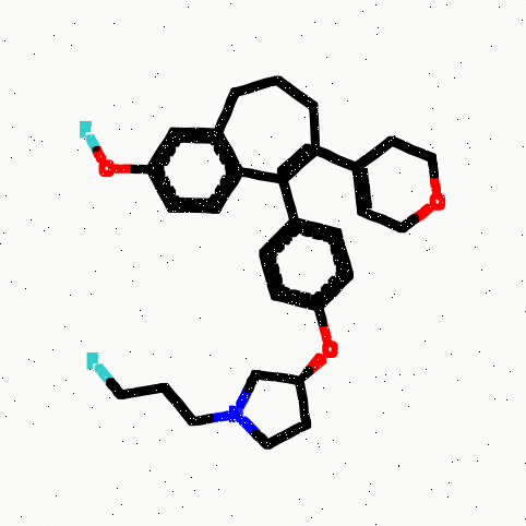 FCCCN1CC[C@H](Oc2ccc(C3=C(C4=CCOCC4)CCCc4cc(OF)ccc43)cc2)C1